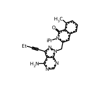 CCC#Cc1nn(Cc2cc3cccc(C)c3c(=O)n2C(C)C)c2ncnc(N)c12